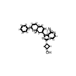 CC12CC(c3nc([C@H]4C[C@@H](O)C4)n4ccnc(N)c34)=CC=C1C=CC(c1ccccc1)=N2